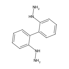 NNc1ccccc1-c1ccccc1NN